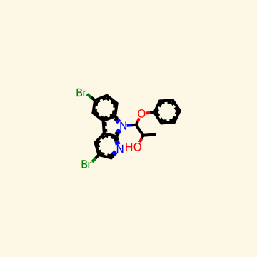 CC(O)C(Oc1ccccc1)n1c2ccc(Br)cc2c2cc(Br)cnc21